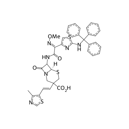 CON=C(C(=O)NC1C(=O)N2CC(C=Cc3scnc3C)(C(=O)O)CS[C@H]12)c1csc(NC(c2ccccc2)(c2ccccc2)c2ccccc2)n1